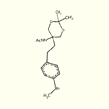 CBc1ccc(CCC2(NC(C)=O)COC(C)(C)OC2)cc1